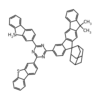 CC1(C)c2ccccc2-c2cc3c(cc21)C1(c2ccc(-c4nc(-c5ccc6c(c5)[SiH2]c5ccccc5-6)nc(-c5ccc6c(c5)sc5ccccc56)n4)cc2-3)C2CC3CC(C2)CC1C3